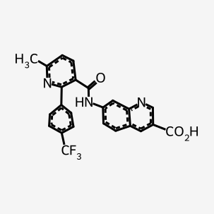 Cc1ccc(C(=O)Nc2ccc3cc(C(=O)O)cnc3c2)c(-c2ccc(C(F)(F)F)cc2)n1